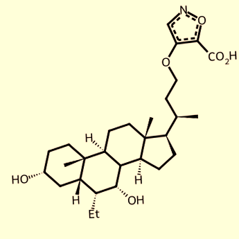 CC[C@H]1[C@@H](O)C2[C@@H]3CC[C@H]([C@H](C)CCOc4cnoc4C(=O)O)[C@@]3(C)CC[C@@H]2[C@@]2(C)CC[C@@H](O)C[C@@H]12